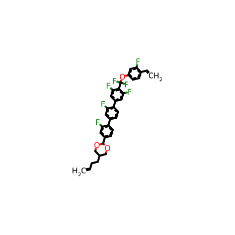 C=CCCC1COC(c2ccc(-c3ccc(-c4cc(F)c(C(F)(F)Oc5ccc(C=C)c(F)c5)c(F)c4)c(F)c3)c(F)c2)OC1